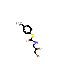 Cc1ccc(SC(=O)NCC(Br)CBr)cc1